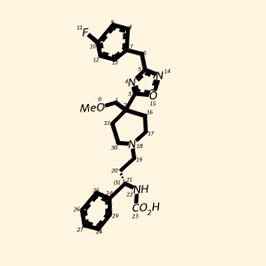 COCC1(c2nc(Cc3ccc(F)cc3)no2)CCN(CC[C@H](NC(=O)O)c2ccccc2)CC1